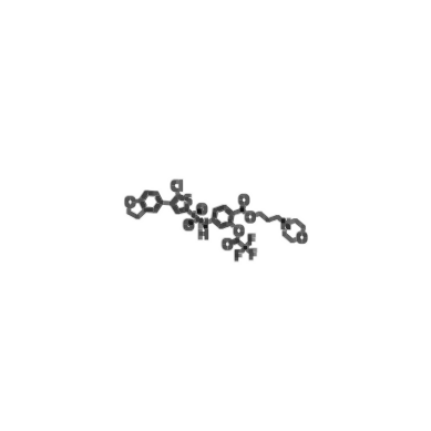 O=C(OCCCN1CCOCC1)c1ccc(NS(=O)(=O)c2cc(-c3ccc4c(c3)CCO4)c(Cl)s2)cc1OC(=O)C(F)(F)F